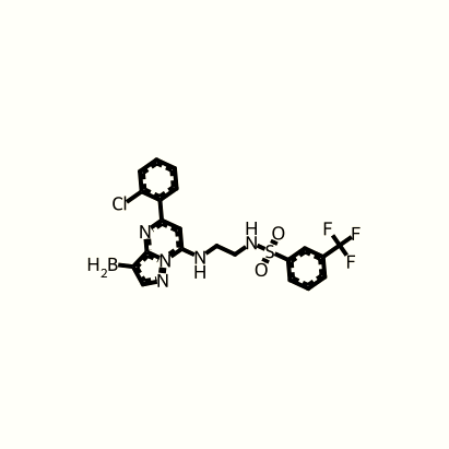 Bc1cnn2c(NCCNS(=O)(=O)c3cccc(C(F)(F)F)c3)cc(-c3ccccc3Cl)nc12